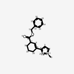 Cn1ccc(C2=CC(C(=O)OCc3ccccc3)CCC2)n1